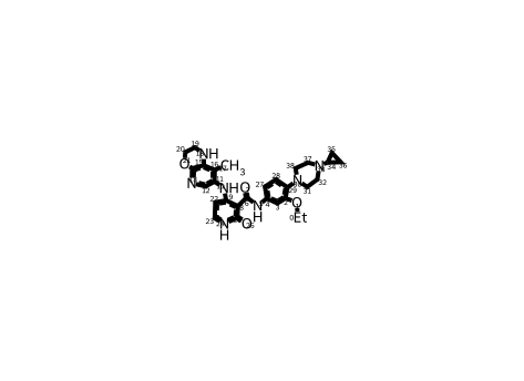 CCOc1cc(NC(=O)c2c(Nc3cnc4c(c3C)NCCO4)cc[nH]c2=O)ccc1N1CCN(C2CC2)CC1